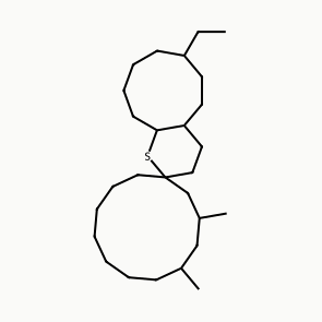 CCC1CCCCC2SC3(CCCCCCCC(C)CC(C)C3)CCC2CC1